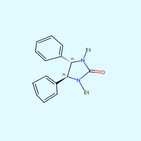 CCN1C(=O)N(CC)[C@@H](c2ccccc2)[C@@H]1c1ccccc1